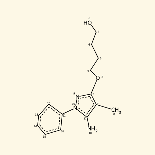 Cc1c(OCCCCO)nn(-c2ccccc2)c1N